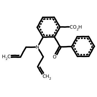 C=CCN(CC=C)c1cccc(C(=O)O)c1C(=O)c1ccccc1